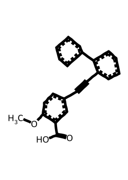 COc1ccc(C#Cc2ccccc2-c2ccccc2)cc1C(=O)O